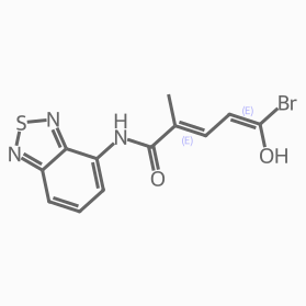 C/C(=C\C=C(/O)Br)C(=O)Nc1cccc2nsnc12